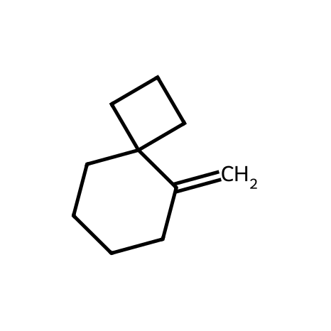 C=C1CCCCC12CCC2